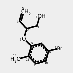 C=CC(CO)Oc1cc(Br)ccc1C